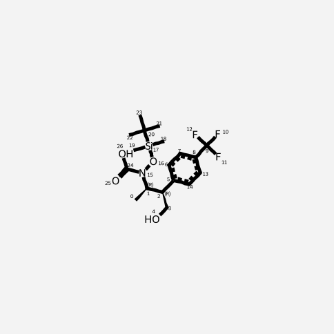 C[C@H]([C@H](CO)c1ccc(C(F)(F)F)cc1)N(O[Si](C)(C)C(C)(C)C)C(=O)O